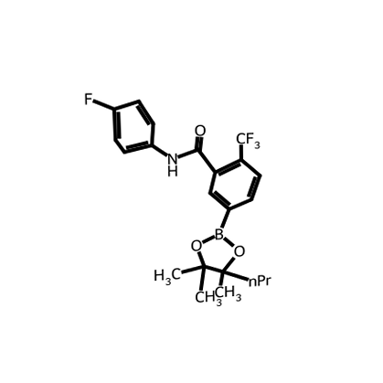 CCCC1(C)OB(c2ccc(C(F)(F)F)c(C(=O)Nc3ccc(F)cc3)c2)OC1(C)C